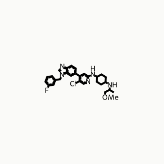 COCC(C)NC1CCC(Nc2cc(-c3ccc4ncn(Cc5cccc(F)c5)c4c3)c(Cl)cn2)CC1